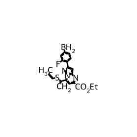 Bc1ccc(-c2cc3nc(C(=O)OCC)cc(C(=C)S/C=C\C)n3n2)c(F)c1